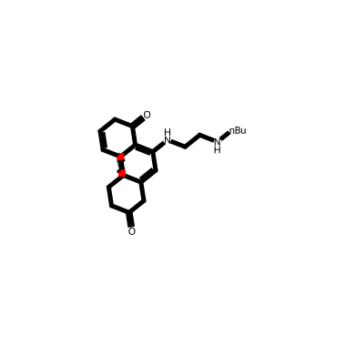 CCCCNCCNC1=C2C(=O)CC=CC23N=NC=CC32CCC(=O)CC2=C1